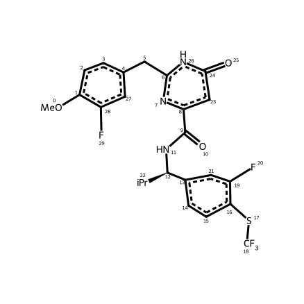 COc1ccc(Cc2nc(C(=O)N[C@@H](c3ccc(SC(F)(F)F)c(F)c3)C(C)C)cc(=O)[nH]2)cc1F